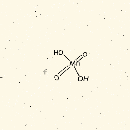 [F].[O]=[Mn](=[O])([OH])[OH]